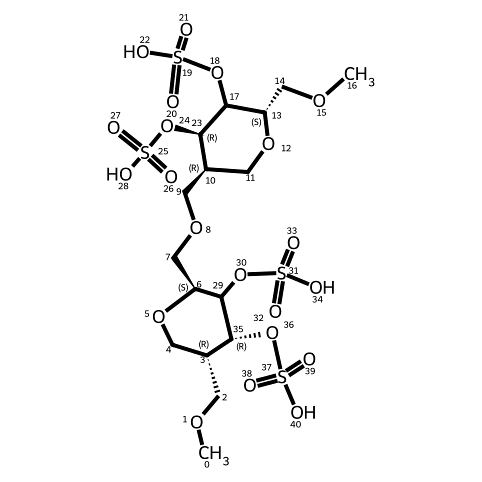 COC[C@@H]1CO[C@@H](COC[C@@H]2CO[C@@H](COC)C(OS(=O)(=O)O)[C@@H]2OS(=O)(=O)O)C(OS(=O)(=O)O)[C@@H]1OS(=O)(=O)O